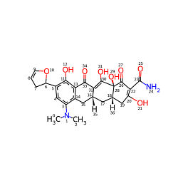 CN(C)c1cc(C2CC=CO2)c(O)c2c1C[C@H]1C[C@H]3CC(O)=C(C(N)=O)C(=O)[C@@]3(O)C(O)=C1C2=O